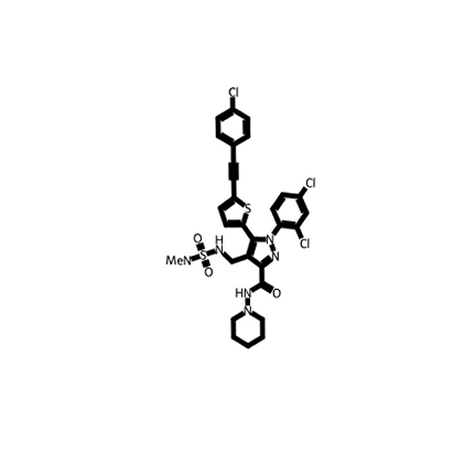 CNS(=O)(=O)NCc1c(C(=O)NN2CCCCC2)nn(-c2ccc(Cl)cc2Cl)c1-c1ccc(C#Cc2ccc(Cl)cc2)s1